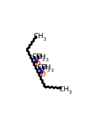 CCCCCCCC/C=C\CCCCCCC(CCCCCC(CCCCCC/C=C\CCCCCCCC)C(=O)N(CC)CC)C(=O)N(CC)CC